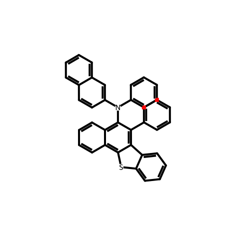 c1ccc(-c2c(N(c3ccccc3)c3ccc4ccccc4c3)c3ccccc3c3sc4ccccc4c23)cc1